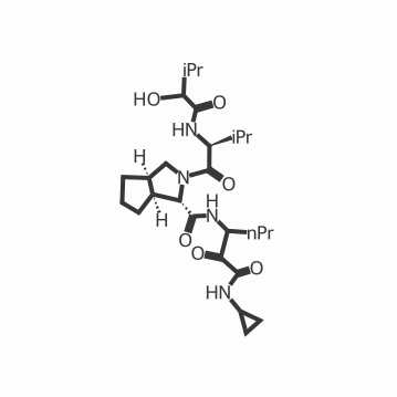 CCCC(NC(=O)[C@@H]1[C@H]2CCC[C@H]2CN1C(=O)[C@@H](NC(=O)C(O)C(C)C)C(C)C)C(=O)C(=O)NC1CC1